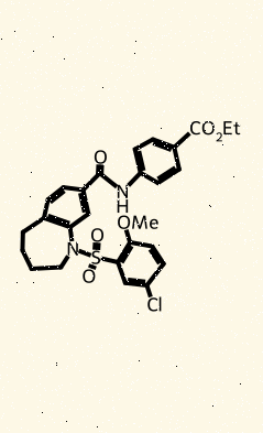 CCOC(=O)c1ccc(NC(=O)c2ccc3c(c2)N(S(=O)(=O)c2cc(Cl)ccc2OC)CCCC3)cc1